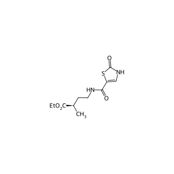 CCOC(=O)[C@H](C)CCNC(=O)c1c[nH]c(=O)s1